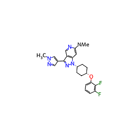 CNc1cc2c(cn1)c(-c1cnn(C)c1)nn2[C@H]1CC[C@@H](Oc2cccc(F)c2F)CC1